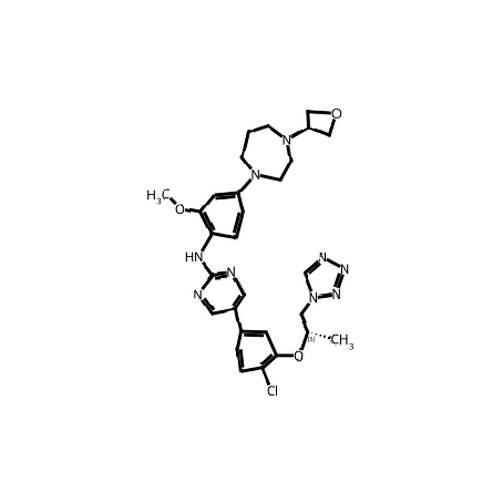 COc1cc(N2CCCN(C3COC3)CC2)ccc1Nc1ncc(-c2ccc(Cl)c(O[C@@H](C)Cn3cnnn3)c2)cn1